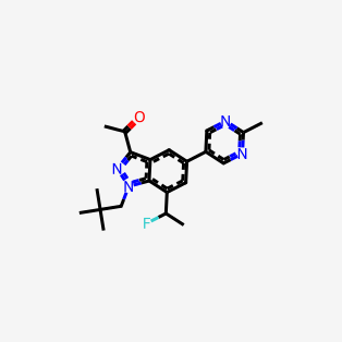 CC(=O)c1nn(CC(C)(C)C)c2c(C(C)F)cc(-c3cnc(C)nc3)cc12